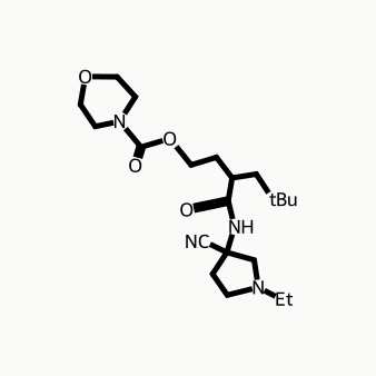 CCN1CCC(C#N)(NC(=O)C(CCOC(=O)N2CCOCC2)CC(C)(C)C)C1